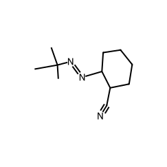 CC(C)(C)N=NC1CCCCC1C#N